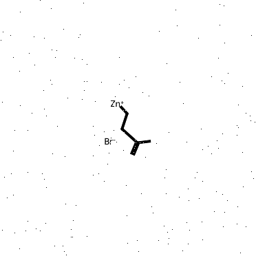 C=C(C)C[CH2][Zn+].[Br-]